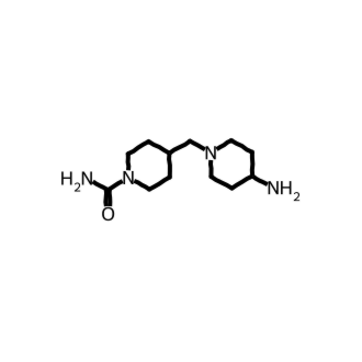 NC(=O)N1CCC(CN2CCC(N)CC2)CC1